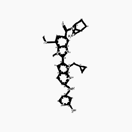 COc1cc(C(=O)N2CC3CCC2C3N)cc2nc(-c3cc4ccc(Nc5ccnc(O)c5)nc4n3CC3CC3)n(C)c12